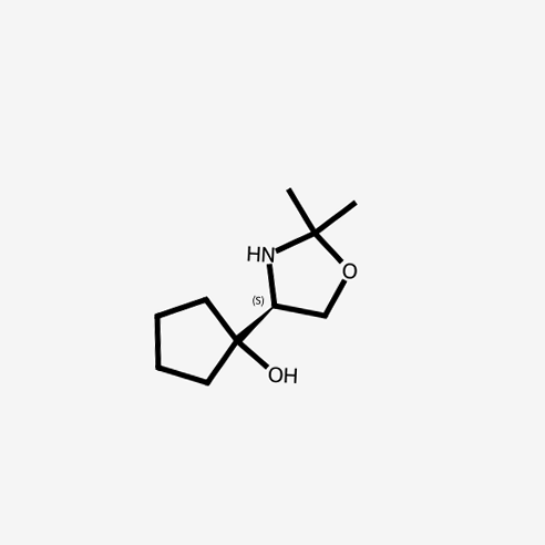 CC1(C)N[C@H](C2(O)CCCC2)CO1